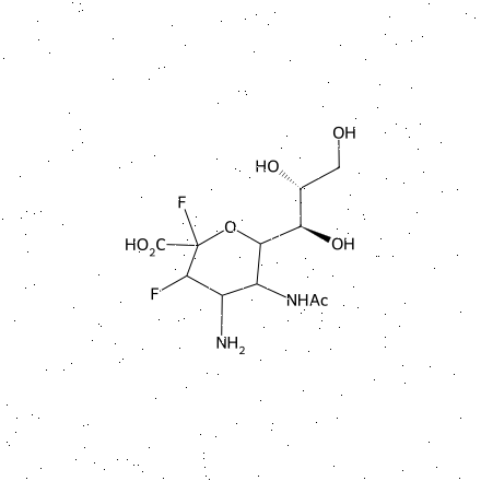 CC(=O)NC1C(N)C(F)C(F)(C(=O)O)OC1[C@H](O)[C@H](O)CO